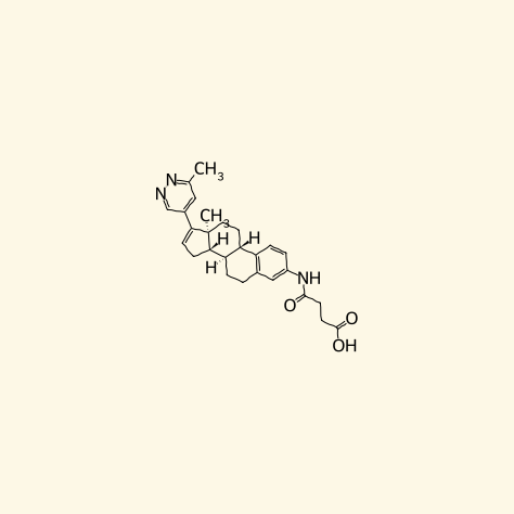 Cc1cc(C2=CC[C@H]3[C@@H]4CCc5cc(NC(=O)CCC(=O)O)ccc5[C@H]4CC[C@]23C)cnn1